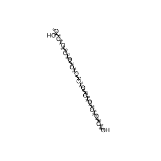 COC(O)COCCOCCOCCOCCOCCOCCOCCOCCOCCOCCOCCOCCOCCO